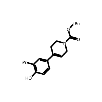 CC(C)c1cc(C2=CCN(C(=O)OC(C)(C)C)CC2)ccc1O